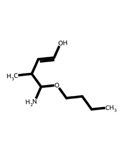 CCCCOC(N)C(C)/C=C/O